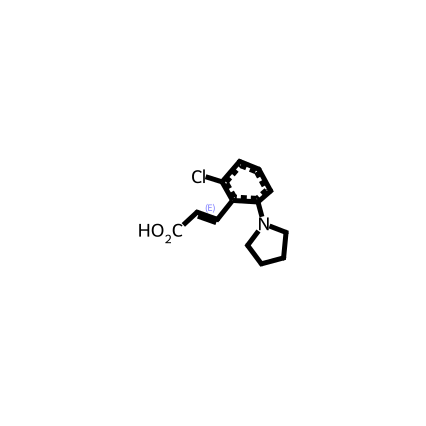 O=C(O)/C=C/c1c(Cl)cccc1N1CCCC1